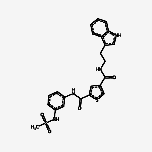 CS(=O)(=O)Nc1cccc(NC(=O)c2cc(C(=O)NCCc3c[nH]c4ccccc34)cs2)c1